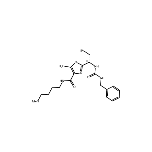 CNCCCCNC(=O)c1nc([C@H](CC(C)C)NC(=O)NCc2ccccc2)oc1C